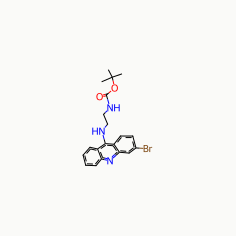 CC(C)(C)OC(=O)NCCNc1c2ccccc2nc2cc(Br)ccc12